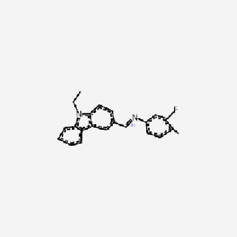 CCn1c2ccccc2c2cc(/C=N/c3ccc(C)c(F)c3)ccc21